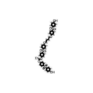 CCC(Oc1ccc(S(=O)(=O)c2ccc(O)cc2)cc1)Oc1ccc(S(=O)(=O)c2ccc(OC=CCCOc3ccc(S(=O)(=O)c4ccc(O)cc4)cc3)cc2)cc1